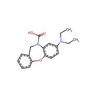 CCN(CC)c1ccc2c(c1)N(C(=O)O)Cc1ccccc1O2